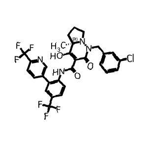 C[C@]12CCCN1N(Cc1cccc(Cl)c1)C(=O)C(C(=O)Nc1ccc(C(F)(F)F)cc1-c1ccc(C(F)(F)F)nc1)=C2O